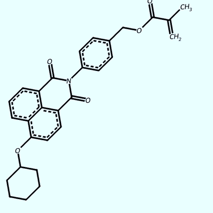 C=C(C)C(=O)OCc1ccc(N2C(=O)c3cccc4c(OC5CCCCC5)ccc(c34)C2=O)cc1